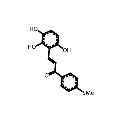 CSc1ccc(C(=O)/C=C/c2c(O)ccc(O)c2O)cc1